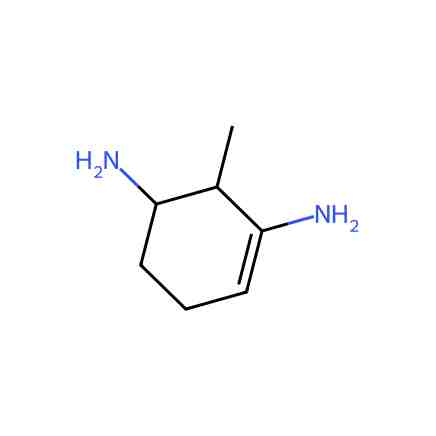 CC1C(N)=CCCC1N